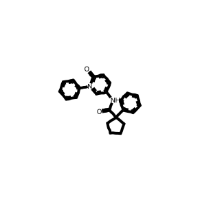 O=C(Nc1ccc(=O)n(-c2ccccc2)c1)C1(c2ccccc2)CCCC1